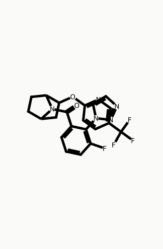 O=C(c1cccc(F)c1-n1ccnn1)N1C2CCC1C(Oc1ccc(C(F)(F)F)cn1)C2